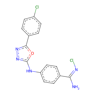 N/C(=N/Cl)c1ccc(Nc2nnc(-c3ccc(Cl)cc3)o2)cc1